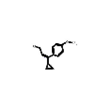 FC(F)(F)Oc1ccc(/C(=C\CCl)C2CC2)cc1